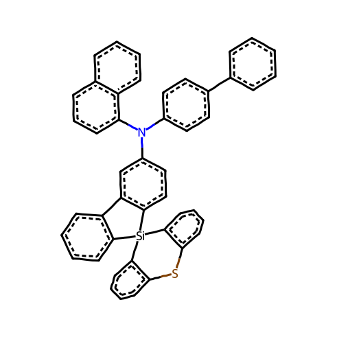 c1ccc(-c2ccc(N(c3ccc4c(c3)-c3ccccc3[Si]43c4ccccc4Sc4ccccc43)c3cccc4ccccc34)cc2)cc1